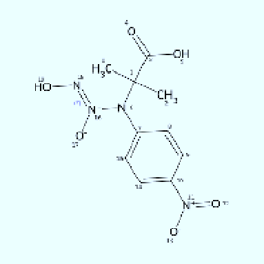 CC(C)(C(=O)O)N(c1ccc([N+](=O)[O-])cc1)/[N+]([O-])=N/O